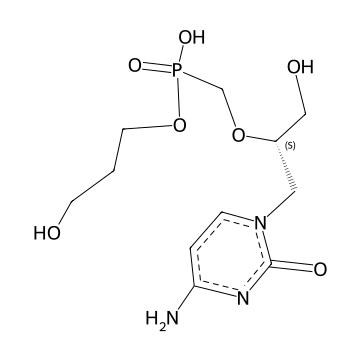 Nc1ccn(C[C@@H](CO)OCP(=O)(O)OCCCO)c(=O)n1